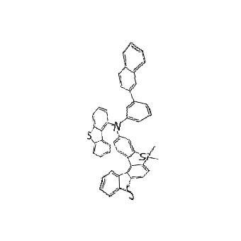 C[Si]1(C)c2cc(N(c3cccc(-c4ccc5ccccc5c4)c3)c3cccc4sc5ccccc5c34)ccc2-c2c1ccc1sc3ccccc3c21